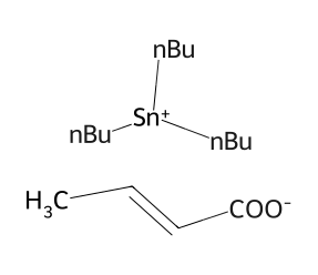 CC=CC(=O)[O-].CCC[CH2][Sn+]([CH2]CCC)[CH2]CCC